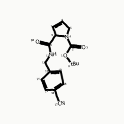 CC(C)(C)OC(=O)N1CC=CC1C(=O)NCc1ccc(C#N)cc1